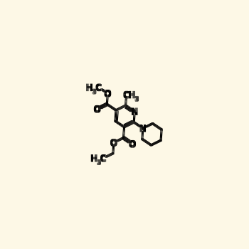 CCOC(=O)c1cc(C(=O)OC)c(C)nc1N1CCCCC1